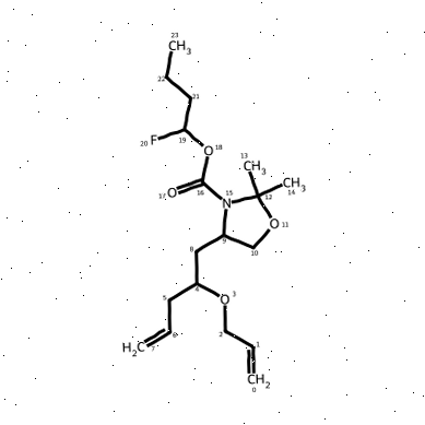 C=CCOC(CC=C)CC1COC(C)(C)N1C(=O)OC(F)CCC